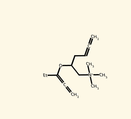 C=C=CCC(C[N+](C)(C)C)OC(=C=C)CC